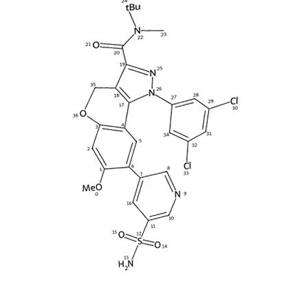 COc1cc2c(cc1-c1cncc(S(N)(=O)=O)c1)-c1c(c(C(=O)N(C)C(C)(C)C)nn1-c1cc(Cl)cc(Cl)c1)CO2